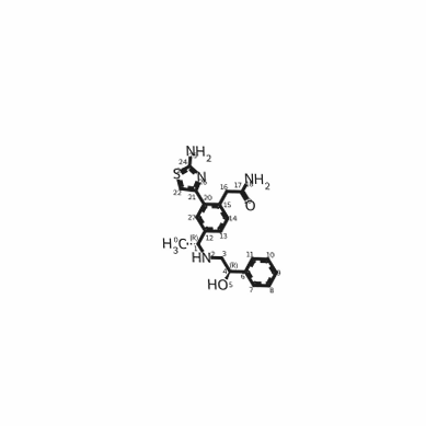 C[C@@H](NC[C@H](O)c1ccccc1)c1ccc(CC(N)=O)c(-c2csc(N)n2)c1